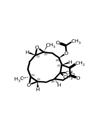 C=C1C(=O)C[C@H]2C[C@@H]3O[C@@]3(C)CC[C@@H]3O[C@@]3(C)C[C@@H](OC(C)=O)[C@H]1C2(C)C